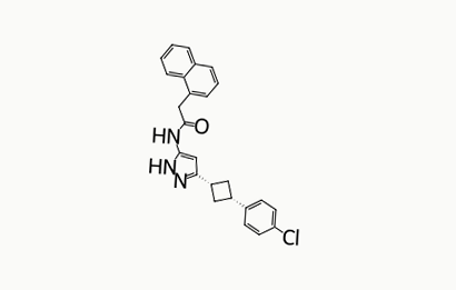 O=C(Cc1cccc2ccccc12)Nc1cc([C@H]2C[C@@H](c3ccc(Cl)cc3)C2)n[nH]1